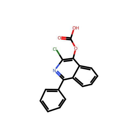 O=C(O)Oc1c(Cl)nc(-c2ccccc2)c2ccccc12